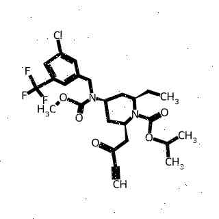 C#CC(=O)C[C@H]1C[C@@H](N(Cc2cc(Cl)cc(C(F)(F)F)c2)C(=O)OC)C[C@@H](CC)N1C(=O)OC(C)C